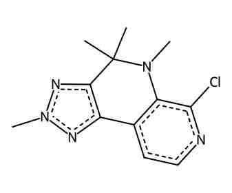 CN1c2c(ccnc2Cl)-c2nn(C)nc2C1(C)C